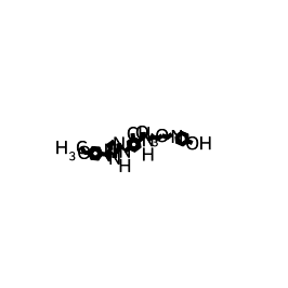 COc1ccc(-c2cnc3c(Nc4ccc(C(=O)NCCOCCN5CCC(O)CC5)c(C)c4)nccn23)cc1